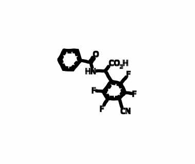 N#Cc1c(F)c(F)c(C(NC(=O)c2ccccc2)C(=O)O)c(F)c1F